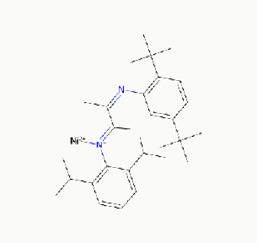 CC(=Nc1cc(C(C)(C)C)ccc1C(C)(C)C)C(C)=[N+]([Ni+2])c1c(C(C)C)cccc1C(C)C